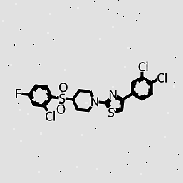 O=S(=O)(c1ccc(F)cc1Cl)C1CCN(c2nc(-c3ccc(Cl)c(Cl)c3)cs2)CC1